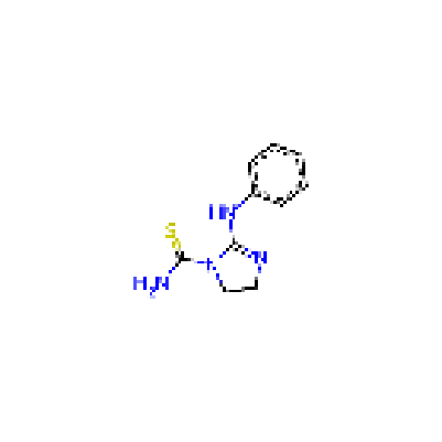 NC(=S)N1CCN=C1Nc1ccccc1